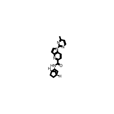 Cc1ccnc(-n2ccc3nc(C(=O)N[C@@H]4C[C@@H]5CC[C@H]4C5)ccc32)n1